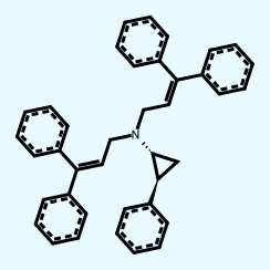 C(CN(CC=C(c1ccccc1)c1ccccc1)[C@@H]1C[C@H]1c1ccccc1)=C(c1ccccc1)c1ccccc1